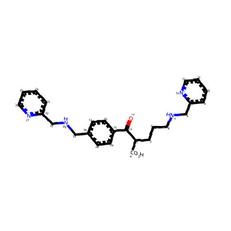 O=C(O)C(CCCNCc1ccccn1)C(=O)c1ccc(CNCc2ccccn2)cc1